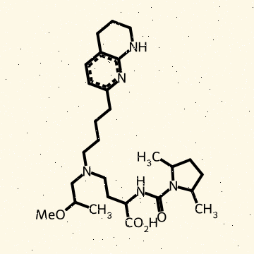 COC(C)CN(CCCCc1ccc2c(n1)NCCC2)CCC(NC(=O)N1C(C)CCC1C)C(=O)O